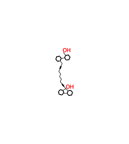 OCc1ccccc1-c1ccccc1CC#CCCCCCC#CC1(O)c2ccccc2-c2ccccc21